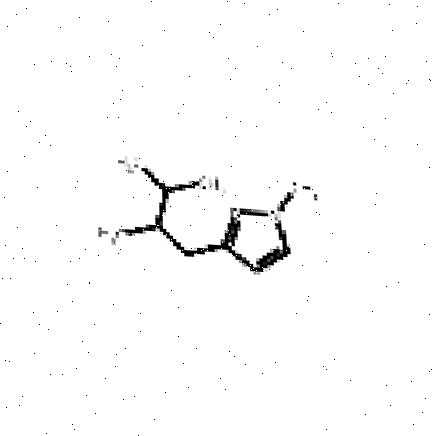 CC(C)C(C)Cc1ccn(C)n1